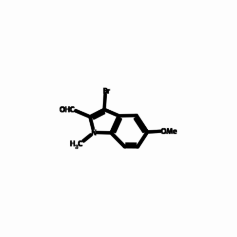 COc1ccc2c(c1)c(Br)c(C=O)n2C